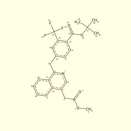 COC(=O)Cc1cnc(Cc2ccc(C(=O)OC(C)(C)C)c(C(F)(F)F)c2)c2ccccc12